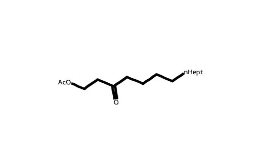 CCCCCCCCCCCC(=O)CCOC(C)=O